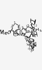 COc1cccc(-c2ccc3c(c2)CC(C)(C)C3NC(=O)O[C@H]2CN3CCC2CC3)c1OC